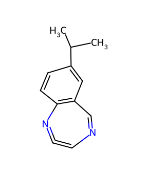 CC(C)c1ccc2c(c1)C=NC=C=N2